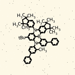 Cc1cc(-c2ccccc2)ccc1N1c2ccc(-c3ccccc3)cc2B2c3cc4c(cc3N(c3ccc5c(c3)C(C)(C)CC5(C)C)c3cc(C(C)(C)C)cc1c32)C(C)(C)CC4(C)C